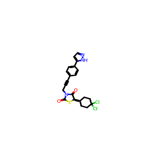 O=C1SC(=C2CCC(Cl)(Cl)CC2)C(=O)N1CC#Cc1ccc(-c2ccn[nH]2)cc1